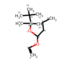 C=COC(CCC)O[Si](C)(C)C(C)(C)C